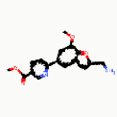 COC(=O)c1ccc(-c2cc(OC)c3oc(CN)cc3c2)nc1